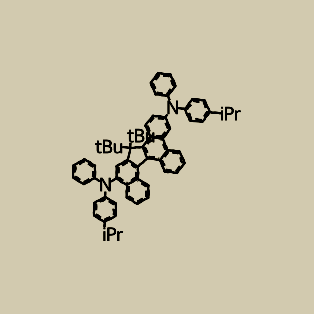 CC(C)c1ccc(N(c2ccccc2)c2ccc3c4c(c5ccccc5c3c2)-c2c(cc(N(c3ccccc3)c3ccc(C(C)C)cc3)c3ccccc23)C4(C(C)(C)C)C(C)(C)C)cc1